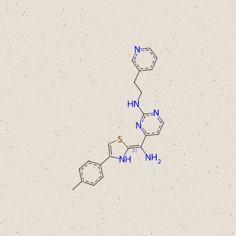 Cc1ccc(C2=CS/C(=C(/N)c3ccnc(NCCc4cccnc4)n3)N2)cc1